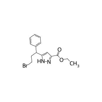 CCOC(=O)c1cc(C(CCBr)c2ccccc2)[nH]n1